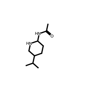 CC(=O)NC1CCC(C(C)C)CN1